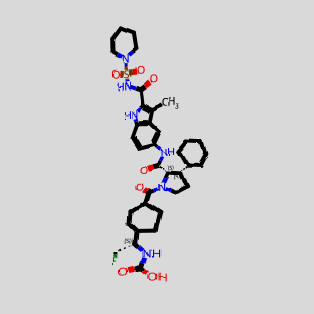 Cc1c(C(=O)NS(=O)(=O)N2CCCCC2)[nH]c2ccc(NC(=O)[C@@H]3[C@H](C4CCCCC4)CCN3C(=O)C3CCC([C@@H](CF)NC(=O)O)CC3)cc12